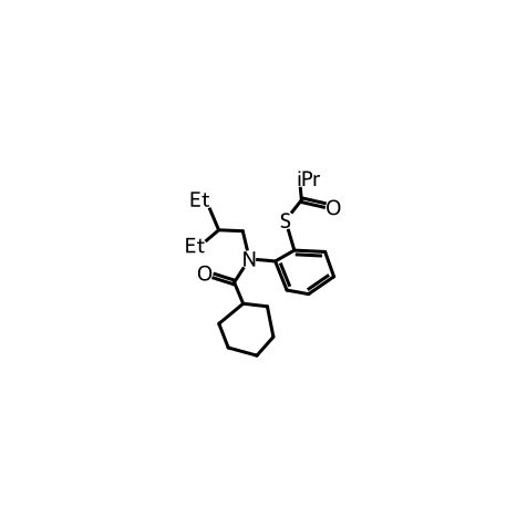 CCC(CC)CN(C(=O)C1CCCCC1)c1ccccc1SC(=O)C(C)C